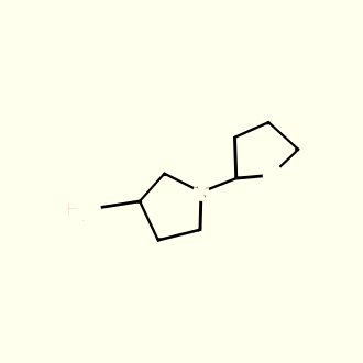 [CH2]C1CCN(C2CCCO2)C1